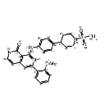 COc1ccccc1-c1cc2c(c(Nc3ccc(C4CCN(S(C)(=O)=O)CC4)cc3)n1)C(=O)[N]C=C2